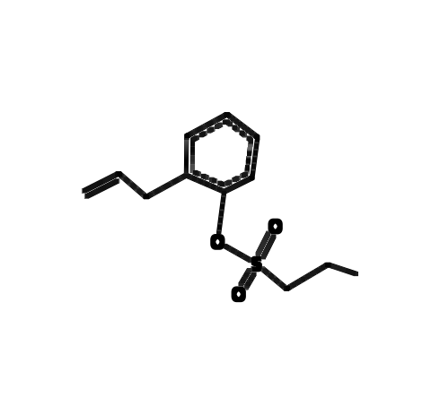 C=CCc1ccccc1OS(=O)(=O)CCC